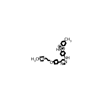 Cc1ccc(S(=O)(=O)Nc2ccc(Nc3cc(-c4ccc(OCCCN5CCN(C)CC5)cc4)ncn3)cc2)cc1